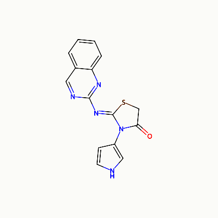 O=C1CSC(=Nc2ncc3ccccc3n2)N1c1cc[nH]c1